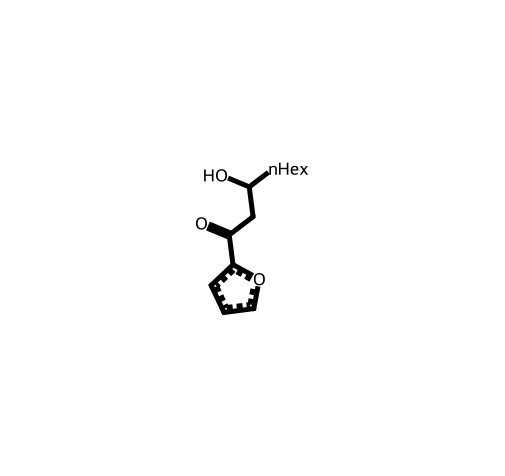 CCCCCCC(O)CC(=O)c1ccco1